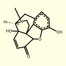 CN1CCC23c4c5ccc(O)c4OC2C(=O)C=CC3(O)[C@H]1C5